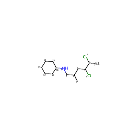 CCC(Cl)C(Cl)CC(C)CNC1CCCCC1